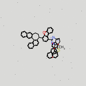 CC1C/C=C(c2ccc3c(c2)sc2ccccc23)/N=C(c2ccc(C3CCc4cc5ccccc5cc4-c4c3ccc3ccccc43)c3oc4ccccc4c23)\N=C/1c1ccc2ccccc2c1